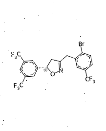 FC(F)(F)c1cc([C@@H]2CC(Cc3cc(C(F)(F)F)ccc3Br)=NO2)cc(C(F)(F)F)c1